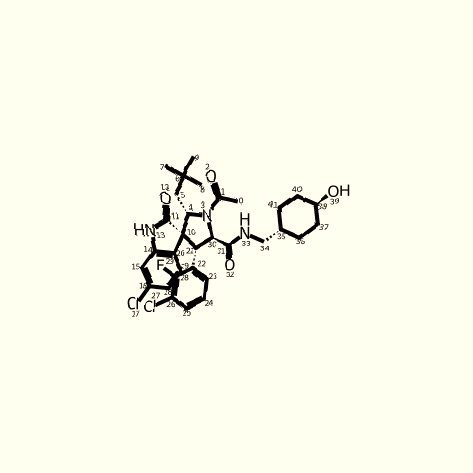 CC(=O)N1[C@@H](CC(C)(C)C)[C@@]2(C(=O)Nc3cc(Cl)ccc32)[C@@H](c2cccc(Cl)c2F)[C@@H]1C(=O)NC[C@H]1CC[C@H](O)CC1